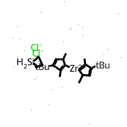 C1C[SiH2]C1.CC1=[C]([Zr+2][C]2=C(C)C(C(C)(C)C)=CC2C)C(C)C=C1C(C)(C)C.[Cl-].[Cl-]